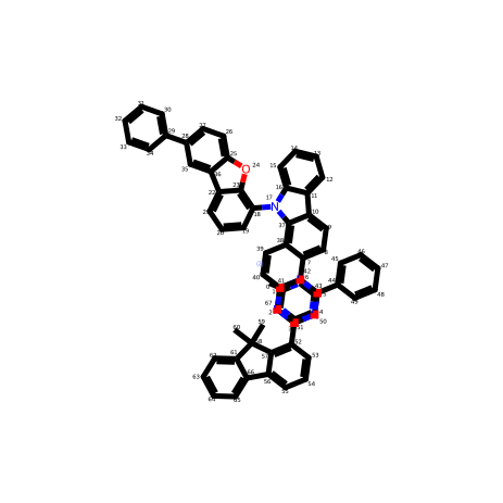 Cc1ccccc1-c1ccc2c3ccccc3n(-c3cccc4c3oc3ccc(-c5ccccc5)cc34)c2c1/C=C\c1nc(-c2ccccc2)nc(-c2cccc3c2C(C)(C)c2ccccc2-3)n1